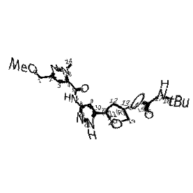 COCc1cc(C(=O)Nc2cc([C@H]3C[C@@H](OC(=O)NC(C)(C)C)CO3)[nH]n2)n(C)n1